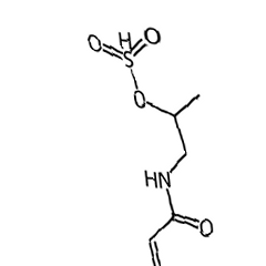 C=CC(=O)NCC(C)O[SH](=O)=O